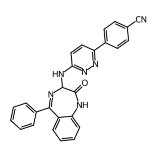 N#Cc1ccc(-c2ccc(NC3N=C(c4ccccc4)c4ccccc4NC3=O)nn2)cc1